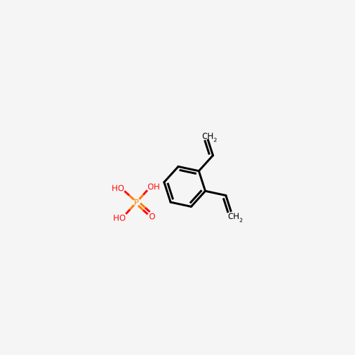 C=Cc1ccccc1C=C.O=P(O)(O)O